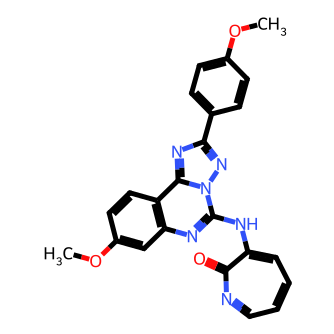 COc1ccc(-c2nc3c4ccc(OC)cc4nc(Nc4ccccnc4=O)n3n2)cc1